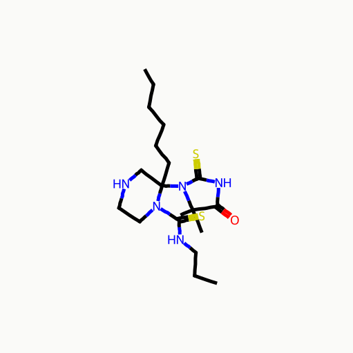 CCCCCCC1(N2C(=S)NC(=O)C2(C)C)CNCCN1C(=S)NCCC